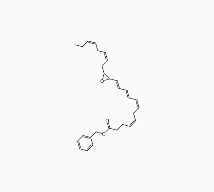 CC/C=C\C/C=C\CC1OC1/C=C/C=C/C=C\C/C=C\CCC(=O)OCc1ccccc1